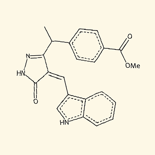 COC(=O)c1ccc(C(C)C2=NNC(=O)/C2=C\c2c[nH]c3ccccc23)cc1